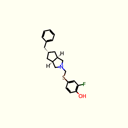 Oc1ccc(SCN2C[C@H]3C[C@H](Cc4ccccc4)C[C@H]3C2)cc1F